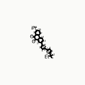 CCC(C)(C)c1ccc(-c2ccc(-c3ccc4c(c3)C(=O)C(=O)c3cc(C(C)C)ccc3-4)s2)s1